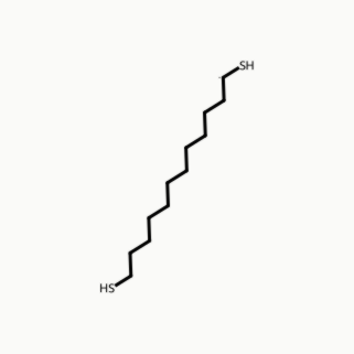 S[CH]CCCCCCCCCCCS